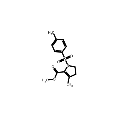 COC(=O)C1=C(C)CCN1S(=O)(=O)c1ccc(C)cc1